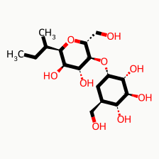 CCC(C)[C@H]1O[C@H](CO)[C@@H](O[C@H]2C[C@H](CO)[C@@H](O)[C@H](O)[C@H]2O)[C@H](O)[C@H]1O